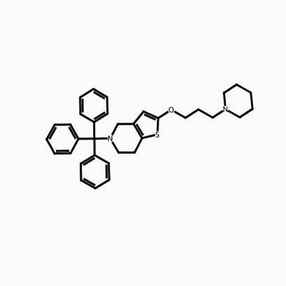 c1ccc(C(c2ccccc2)(c2ccccc2)N2CCc3sc(OCCCN4CCCCC4)cc3C2)cc1